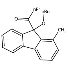 CCCCOC1(C(=O)CCC)c2ccccc2-c2cccc(C)c21